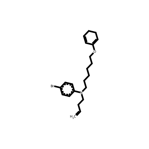 C=CCCN(CCCCCCOC1=CC[CH]C=C1)c1ccc(Br)cc1